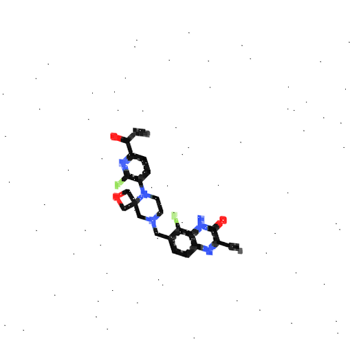 CNC(=O)c1ccc(N2CCN(Cc3ccc4nc(C)c(=O)[nH]c4c3F)CC23COC3)c(F)n1